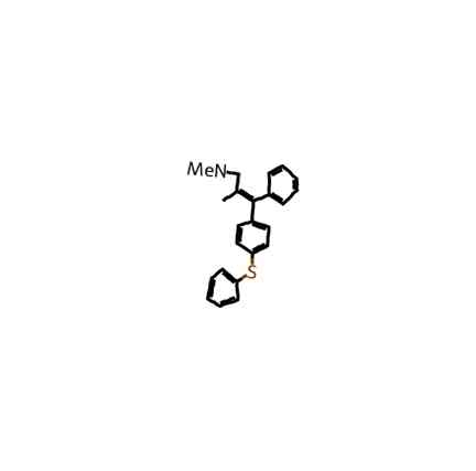 CNCC(C)=C(c1ccccc1)c1ccc(Sc2ccccc2)cc1